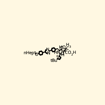 CCCCCCCOc1ccc(-c2cnc(-c3ccc(C[C@H](NC(=O)c4ccc(C(C)(C)C)s4)C(=O)N[C@@H](C(=O)O)[C@@H](C)O)cc3)nc2)cc1